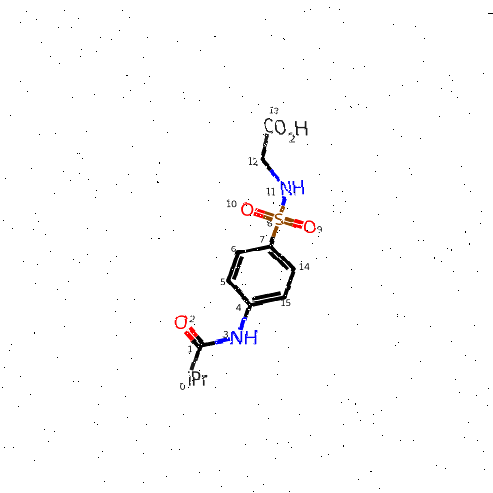 CC(C)C(=O)Nc1ccc(S(=O)(=O)NCC(=O)O)cc1